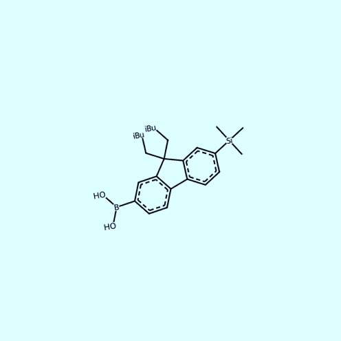 CCC(C)CC1(CC(C)CC)c2cc(B(O)O)ccc2-c2ccc([Si](C)(C)C)cc21